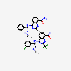 CNC[C@@H](Nc1nc(C(F)(F)F)nc2c(C(N)=O)cccc12)c1cccc(F)c1.CNC[C@@H](Nc1nc(C)nc2c(C(N)=O)cccc12)c1ccccc1